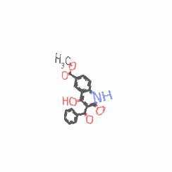 COC(=O)c1ccc2[nH]c(=O)c(C(=O)c3ccccc3)c(O)c2c1